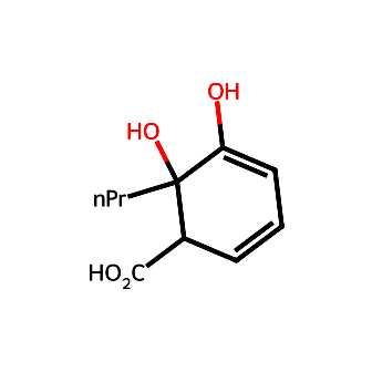 CCCC1(O)C(O)=CC=CC1C(=O)O